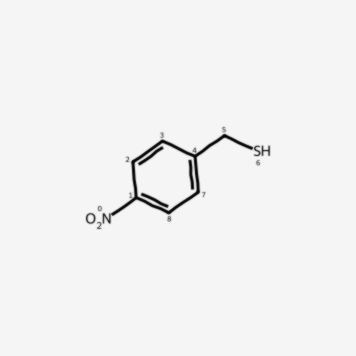 O=[N+]([O-])c1ccc(CS)cc1